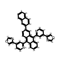 c1ccc2cc(-c3ccc4c(-c5cc(-c6cocn6)ccn5)c5ccccc5c(-c5cc(-c6cocn6)ccn5)c4c3)ccc2c1